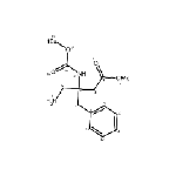 COC(=O)CC(CN)(Cc1ccccc1)NC(=O)OC(C)(C)C